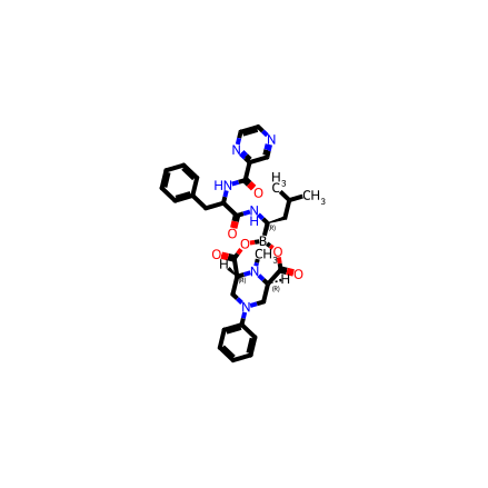 CC(C)C[C@H](NC(=O)C(Cc1ccccc1)NC(=O)c1cnccn1)B1OC(=O)[C@H]2CN(c3ccccc3)C[C@H](C(=O)O1)N2C